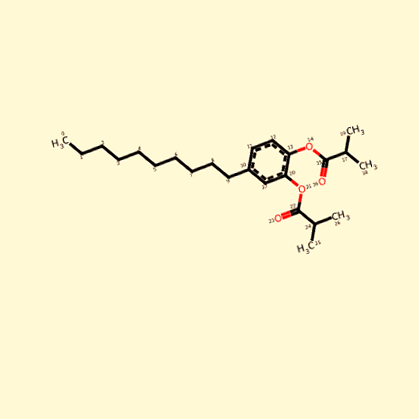 CCCCCCCCCCc1ccc(OC(=O)C(C)C)c(OC(=O)C(C)C)c1